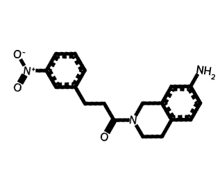 Nc1ccc2c(c1)CN(C(=O)CCc1cccc([N+](=O)[O-])c1)CC2